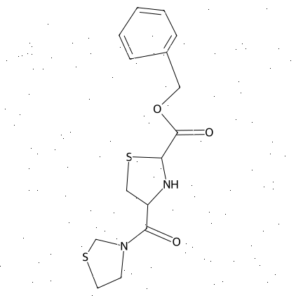 O=C(OCc1ccccc1)C1NC(C(=O)N2CCSC2)CS1